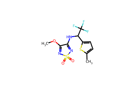 COC1=NS(=O)(=O)N=C1NC(c1ccc(C)s1)C(F)(F)F